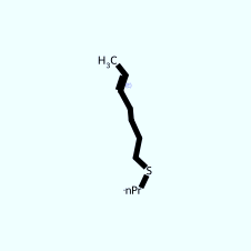 C/C=C/CCCCS[CH]CC